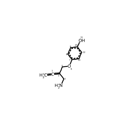 C=C=C(CN)COc1ccc(O)cc1